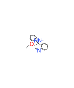 CCOc1ccccc1C1(NC)CC=Nc2ccccc21